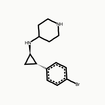 Brc1ccc([C@@H]2C[C@H]2NC2CCNCC2)cc1